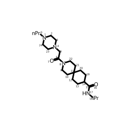 CCCN1CCN(CC(=O)N2CCC3(CCC(C(=O)NC(C)C)CC3)CC2)CC1